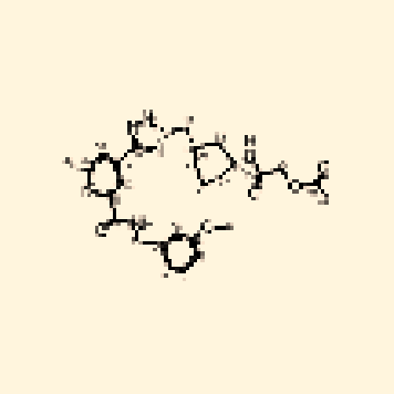 COc1cccc(CNC(=O)c2cc(-c3nnn(C[C@@H]4CCC[C@@H](NC(=O)COC(C)=O)C4)n3)cc(C)n2)c1